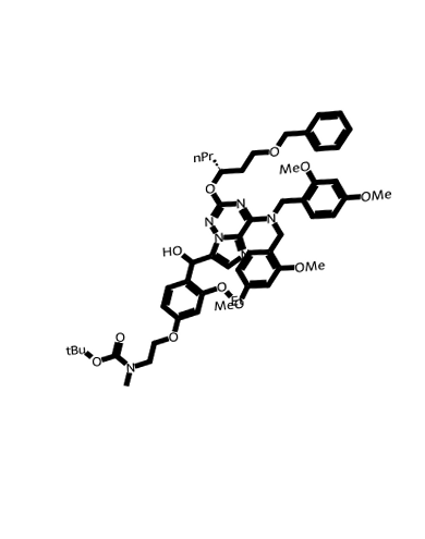 CCC[C@H](CCOCc1ccccc1)Oc1nc(N(Cc2ccc(OC)cc2OC)Cc2ccc(OC)cc2OC)c2ncc(C(O)c3ccc(OCCN(C)C(=O)OC(C)(C)C)cc3OCC)n2n1